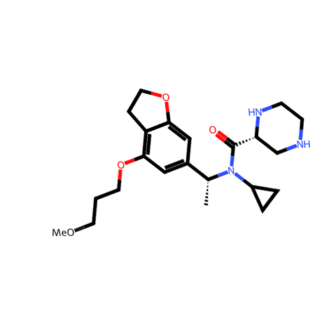 COCCCOc1cc([C@@H](C)N(C(=O)[C@H]2CNCCN2)C2CC2)cc2c1CCO2